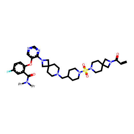 C=CC(=O)N1CC2(CCN(S(=O)(=O)N3CCC(CN4CCC5(CC4)CN(c4ncncc4Oc4ccc(F)cc4C(=O)N(C(C)C)C(C)C)C5)CC3)CC2)C1